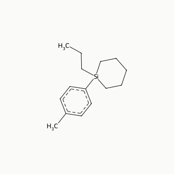 CCC[Si]1(c2ccc(C)cc2)CCCCC1